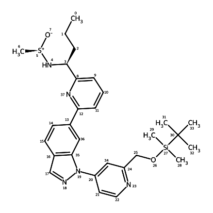 CCC[C@H](N[S@@+](C)[O-])c1cccc(-c2ccc3cnn(-c4ccnc(CO[Si](C)(C)C(C)(C)C)c4)c3c2)n1